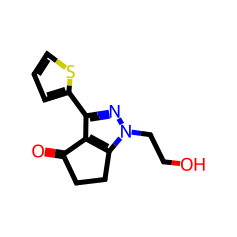 O=C1CCc2c1c(-c1cccs1)nn2CCO